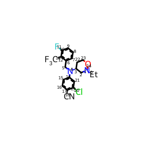 CCN1C[C@@H](N(Cc2cccc(F)c2C(F)(F)F)c2ccc(C#N)c(Cl)c2)CCO1